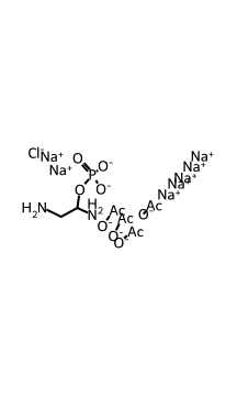 CC(=O)[O-].CC(=O)[O-].CC(=O)[O-].CC(=O)[O-].NCC(N)OP(=O)([O-])[O-].[Cl-].[Na+].[Na+].[Na+].[Na+].[Na+].[Na+].[Na+]